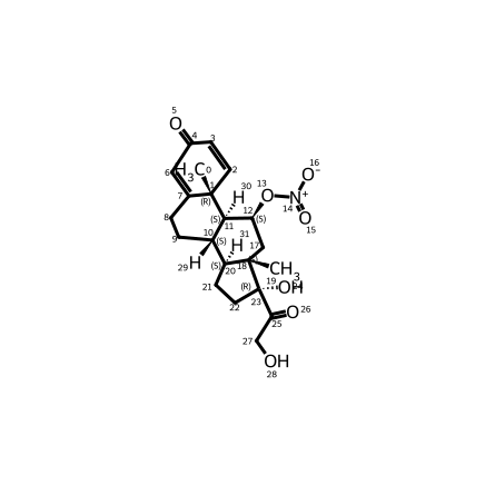 C[C@]12C=CC(=O)C=C1CC[C@@H]1[C@@H]2[C@@H](O[N+](=O)[O-])C[C@@]2(C)[C@H]1CC[C@]2(O)C(=O)CO